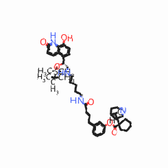 CC(C)(C)[Si](C)(C)O[C@@H](CNCCCCCNC(=O)CCCc1cccc(OC(=O)C2([C@@H]3CN4CCC3CC4)CCCCC2)c1)c1ccc(O)c2[nH]c(=O)ccc12